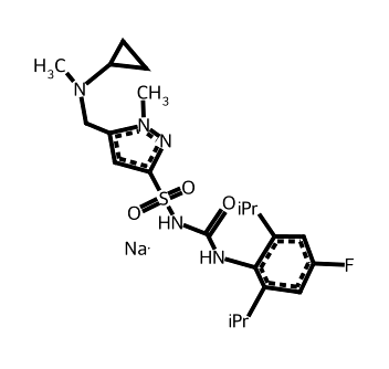 CC(C)c1cc(F)cc(C(C)C)c1NC(=O)NS(=O)(=O)c1cc(CN(C)C2CC2)n(C)n1.[Na]